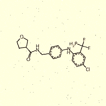 O=C(NCc1ccc(Nc2ccc(Cl)cc2C(F)(F)P)cc1)C1CCOC1